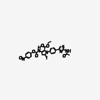 CCOC(=O)c1c(NC(=O)Oc2ccc(N=O)cc2)cc(I)n1-c1ccc(-c2csc(NC(C)=O)n2)cc1